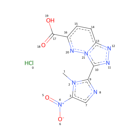 Cl.Cn1c([N+](=O)[O-])cnc1-c1nnc2ccc(C(=O)O)nn12